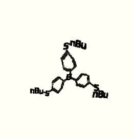 CCCCSc1ccc(B(c2ccc(SCCCC)cc2)c2ccc(SCCCC)cc2)cc1